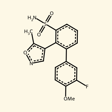 COc1ccc(-c2cccc(S(N)(=O)=O)c2-c2cnoc2C)cc1F